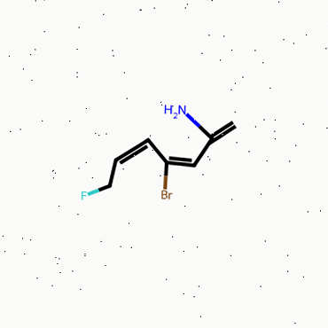 C=C(N)/C=C(Br)\C=C/CF